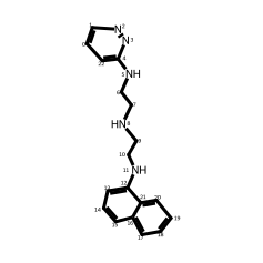 c1cnnc(NCCNCCNc2cccc3ccccc23)c1